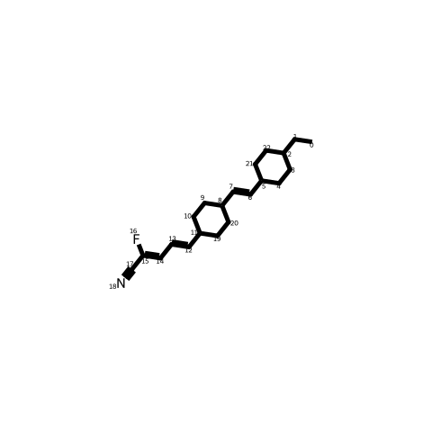 CCC1CCC(C=CC2CCC(C=CC=C(F)C#N)CC2)CC1